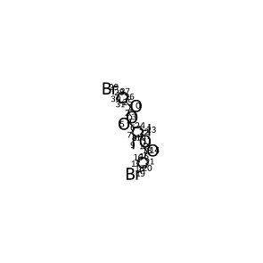 O=C(COC(=O)c1cc(I)c(OCC(=O)c2ccc(Br)cc2)c(I)c1)c1ccc(Br)cc1